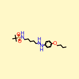 CCCCOc1ccc(NNCCCCCNS(=O)(=O)C(C)(C)C)cc1